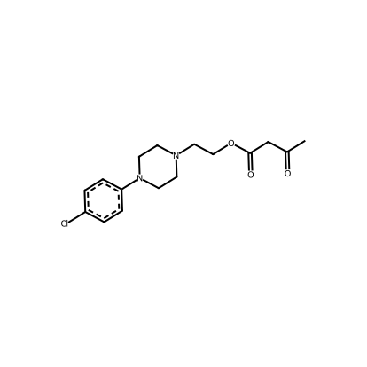 CC(=O)CC(=O)OCCN1CCN(c2ccc(Cl)cc2)CC1